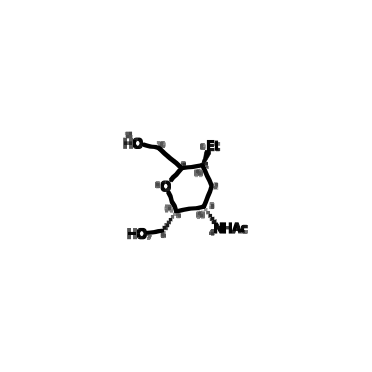 CC[C@H]1C[C@H](NC(C)=O)[C@H](CO)OC1CO